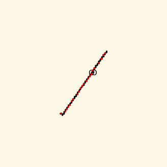 CCCCCCC=CCCCCCCCCCCCC(=O)OCCCCCCCCCCCCCCCCCCCCCCCCCCCCCCCCCCCCCC(C)CC